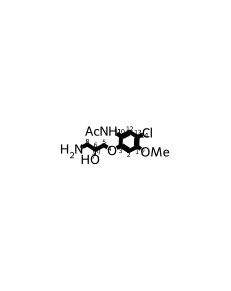 COc1cc(OC[C@H](O)CN)c(NC(C)=O)cc1Cl